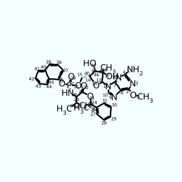 COc1nc(N)nc2c1ncn2C1O[C@H](COP(=O)(NC(C(=O)O[C@@H](C)c2ccccc2)C(C)C)Oc2cccc3ccccc23)[C@@H](O)[C@@]1(C)O